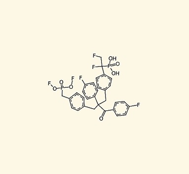 O=C(c1ccc(F)cc1)C(Cc1ccc(CP(=O)(OF)OF)cc1)(Cc1ccc(C(F)(CF)P(=O)(O)O)cc1)c1ccc(F)cc1